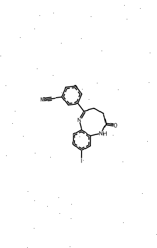 N#Cc1cccc(C2=Nc3ccc(I)cc3NC(=O)CC2)c1